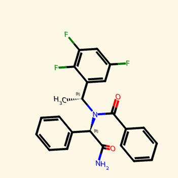 C[C@H](c1cc(F)cc(F)c1F)N(C(=O)c1ccccc1)[C@@H](C(N)=O)c1ccccc1